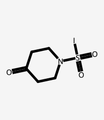 O=C1CCN(S(=O)(=O)I)CC1